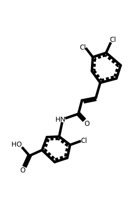 O=C(C=Cc1ccc(Cl)c(Cl)c1)Nc1cc(C(=O)O)ccc1Cl